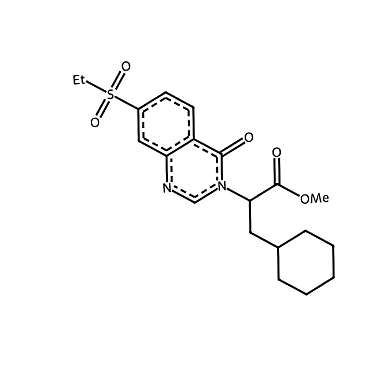 CCS(=O)(=O)c1ccc2c(=O)n(C(CC3CCCCC3)C(=O)OC)cnc2c1